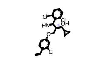 C=Cc1ccc(OC/C(C(=N)c2c(Cl)cccc2Cl)=C(/O)C2CC2)cc1Cl